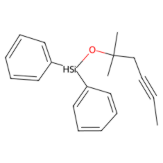 CC#CCC(C)(C)O[SiH](c1ccccc1)c1ccccc1